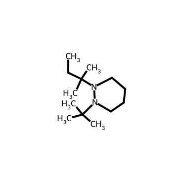 CCC(C)(C)N1CCCCN1C(C)(C)C